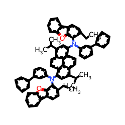 CCc1ccc2c(oc3ccccc32)c1N(c1cccc(-c2ccccc2)c1)c1cc(C(C)C)c2ccc3c(N(c4cccc(-c5ccccc5)c4)c4c(CC)ccc5c4oc4ccccc45)cc(C(C)C)c4ccc1c2c43